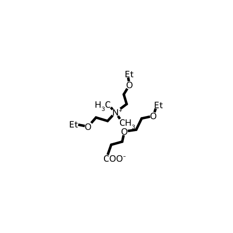 CCOCCOCCC(=O)[O-].CCOCC[N+](C)(C)CCOCC